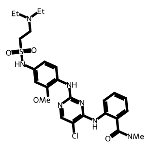 CCN(CC)CCS(=O)(=O)Nc1ccc(Nc2ncc(Cl)c(Nc3ccccc3C(=O)NC)n2)c(OC)c1